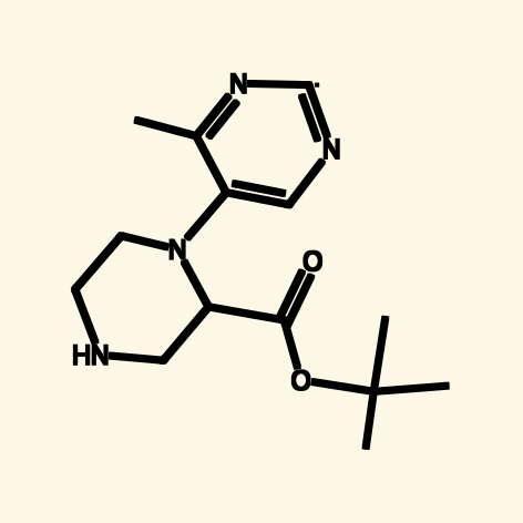 Cc1n[c]ncc1N1CCNCC1C(=O)OC(C)(C)C